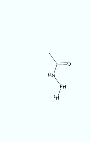 [3H]PNC(C)=O